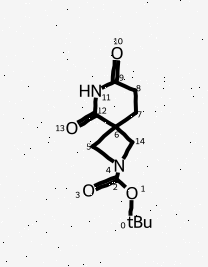 CC(C)(C)OC(=O)N1CC2(CCC(=O)NC2=O)C1